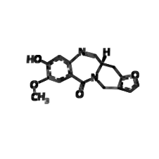 COc1cc2c(cc1O)N=C[C@@H]1Cc3occc3CN1C2=O